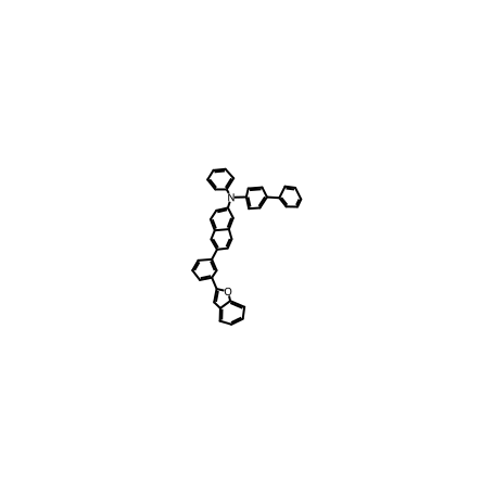 c1ccc(-c2ccc(N(c3ccccc3)c3ccc4cc(-c5cccc(-c6cc7ccccc7o6)c5)ccc4c3)cc2)cc1